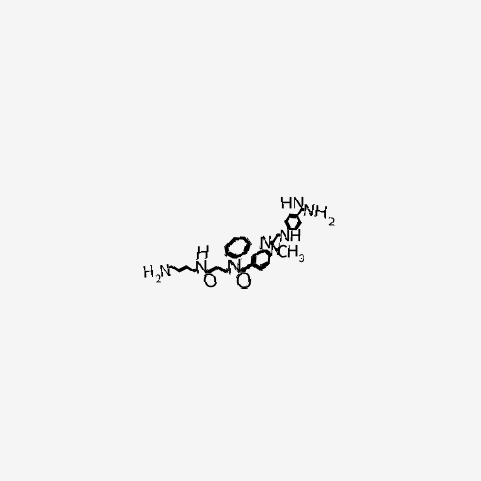 Cn1c(CNc2ccc(C(=N)N)cc2)nc2cc(C(=O)N(CCC(=O)NCCCCN)C3=CC=CCC=C3)ccc21